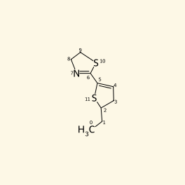 CCC1CC=C(C2=NCCS2)S1